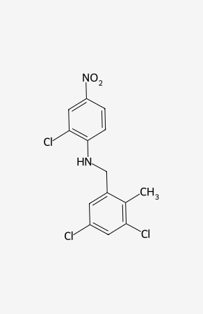 Cc1c(Cl)cc(Cl)cc1CNc1ccc([N+](=O)[O-])cc1Cl